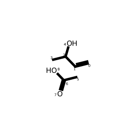 C=CC(C)O.CC(=O)O